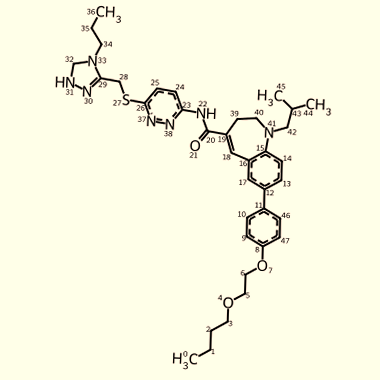 CCCCOCCOc1ccc(-c2ccc3c(c2)C=C(C(=O)Nc2ccc(SCC4=NNCN4CCC)nn2)CCN3CC(C)C)cc1